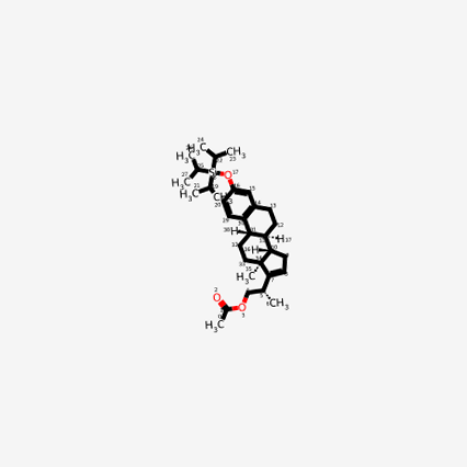 CC(=O)OC[C@@H](C)C1=CC[C@H]2[C@@H]3CCc4cc(O[Si](C(C)C)(C(C)C)C(C)C)ccc4[C@H]3CC[C@]12C